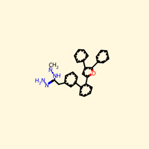 C=NN/C(Cc1cccc(-c2ccccc2-c2cc(-c3ccccc3)c(-c3ccccc3)o2)c1)=N\N